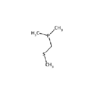 CSCP(C)C